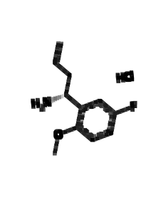 C=CC[C@@H](N)c1cc(F)ccc1OC.Cl